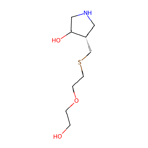 OCCOCCSC[C@H]1CNCC1O